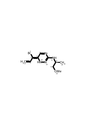 C=C/C(Br)=C1/C=NC(N[C@@H](C)COC)=NN1